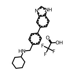 O=C(O)C(F)(F)F.c1nc2cc(-c3ccc(CNC4CCCCC4)cc3)ccc2[nH]1